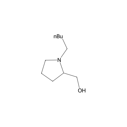 CCCCCN1CCCC1CO